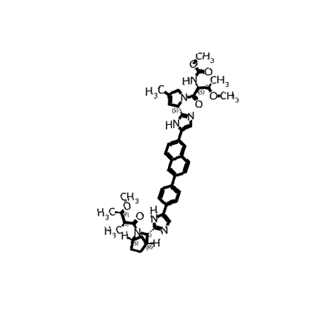 COC(=O)N[C@H](C(=O)N1CC(C)=C[C@H]1c1ncc(-c2ccc3cc(-c4ccc(-c5cnc([C@@H]6[C@@H]7CC[C@@H](C7)N6C(=O)[C@@H](C)[C@@H](C)OC)[nH]5)cc4)ccc3c2)[nH]1)[C@@H](C)OC